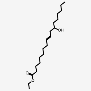 CCCCCCC(O)C/C=C/CCCCCCCC(=O)OCC